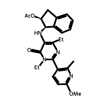 CCc1nc(-c2ccc(OC)nc2C)n(CC)c(=O)c1N[C@@H]1c2ccccc2C[C@@H]1OC(C)=O